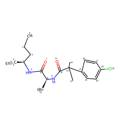 CCOC(=O)[C@@H](CCC#N)NC(=O)[C@@H](NC(=O)C(C)(C)c1ccc(Cl)cc1)C(C)(C)C